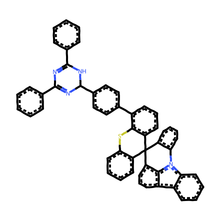 c1ccc(C2=NC(c3ccc(-c4cccc5c4Sc4ccccc4C54c5ccccc5-n5c6ccccc6c6cccc4c65)cc3)NC(c3ccccc3)=N2)cc1